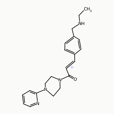 CCNCc1ccc(/C=C/C(=O)N2CCN(c3ccccn3)CC2)cc1